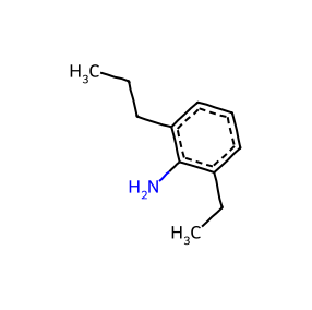 CCCc1cccc(CC)c1N